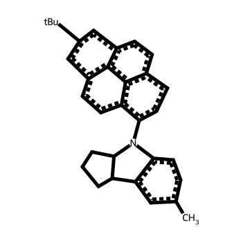 Cc1ccc2c(c1)C1CCCC1N2c1ccc2ccc3cc(C(C)(C)C)cc4ccc1c2c34